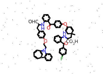 CC1(CC(Nc2ccccc2C(=O)c2ccc(F)cc2)C(=O)O)C=CC(Oc2ccc(C(=O)c3ccccc3NC(C=O)Cc3ccc(OCCN4C5=CC(C=CC=C5)c5ccccc54)cc3)cc2)=CC1